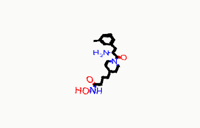 Cc1cccc(C[C@@H](N)C(=O)N2CCC(CCCC(=O)NO)CC2)c1